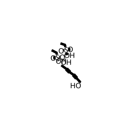 CCS(=O)(=O)O.CCS(=O)(=O)O.OCC#CC#CCO